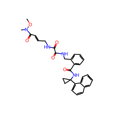 CON(C)C(=O)/C=C/CNC(=O)C(=O)NCc1ccccc1C(=O)NC1(c2cccc3ccccc23)CC1